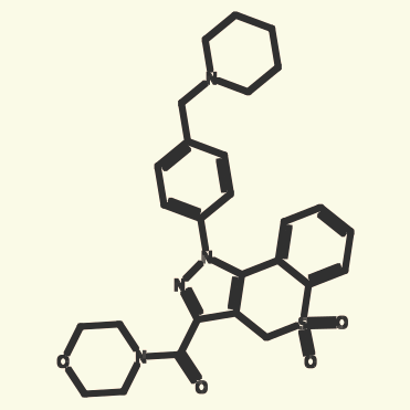 O=C(c1nn(-c2ccc(CN3CCCCC3)cc2)c2c1CS(=O)(=O)c1ccccc1-2)N1CCOCC1